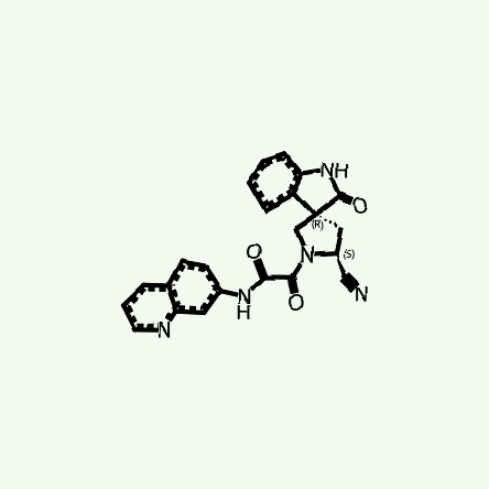 N#C[C@@H]1C[C@@]2(CN1C(=O)C(=O)Nc1ccc3cccnc3c1)C(=O)Nc1ccccc12